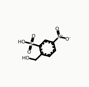 O=[N+]([O-])c1ccc(CO)c(S(=O)(=O)O)c1